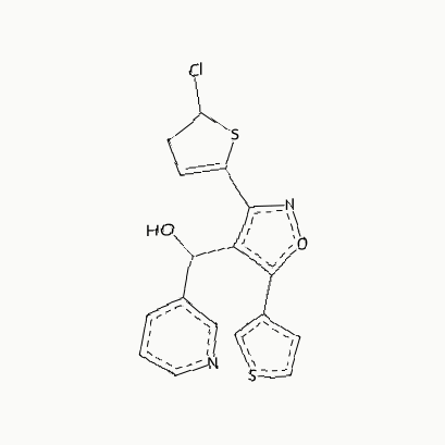 OC(c1cccnc1)c1c(C2=CCC(Cl)S2)noc1-c1ccsc1